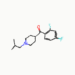 C[C](C)CN1CCC(C(=O)c2ccc(F)cc2F)CC1